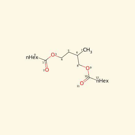 CCCCCCC(=O)OCCC(C)COC(=O)CCCCCC